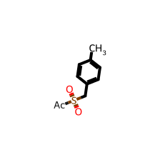 CC(=O)S(=O)(=O)Cc1ccc(C)cc1